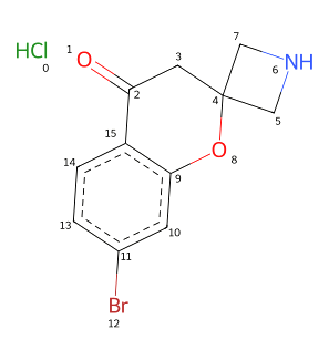 Cl.O=C1CC2(CNC2)Oc2cc(Br)ccc21